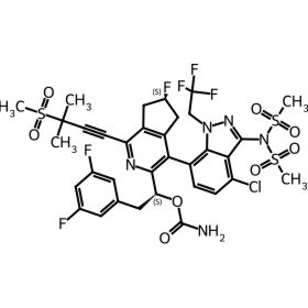 CC(C)(C#Cc1nc([C@H](Cc2cc(F)cc(F)c2)OC(N)=O)c(-c2ccc(Cl)c3c(N(S(C)(=O)=O)S(C)(=O)=O)nn(CC(F)(F)F)c23)c2c1C[C@@H](F)C2)S(C)(=O)=O